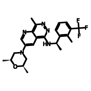 Cc1c([C@@H](C)Nc2nnc(C)c3ncc(N4C[C@@H](C)O[C@@H](C)C4)cc23)cccc1C(F)(F)F